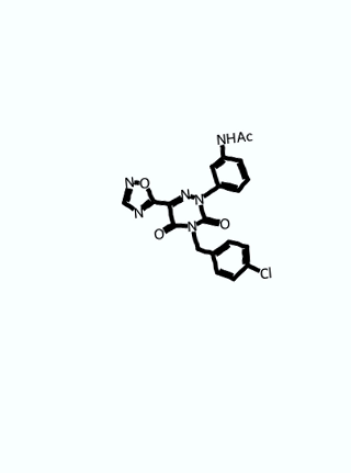 CC(=O)Nc1cccc(-n2nc(-c3ncno3)c(=O)n(Cc3ccc(Cl)cc3)c2=O)c1